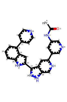 CCCC(=O)Nc1cncc(-c2cc3c(-c4cc5c(-c6ccncc6)cccc5[nH]4)n[nH]c3cn2)c1